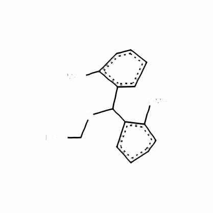 COc1ccccc1C(SCC(=O)O)c1ccccc1OC